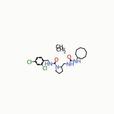 O=C(NCC1CCCN1C(=O)NCc1ccc(Cl)cc1Cl)N[C]1CCCCCCC1.[CH2].[CH2]